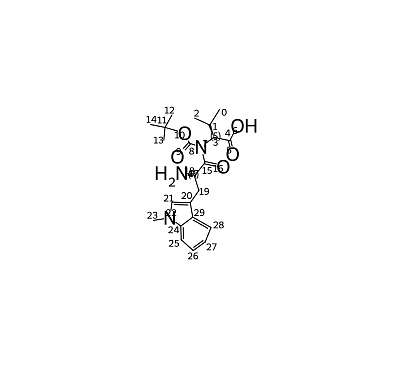 CC(C)[C@@H](C(=O)O)N(C(=O)OC(C)(C)C)C(=O)[C@H](N)Cc1cn(C)c2ccccc12